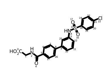 O=C(O)CNC(=O)c1ccc(-c2cccc(NS(=O)(=O)c3ccc(Cl)cc3)c2)cc1